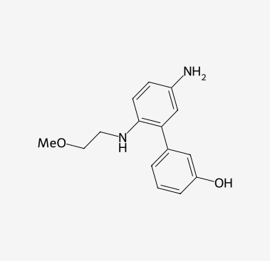 COCCNc1ccc(N)cc1-c1cccc(O)c1